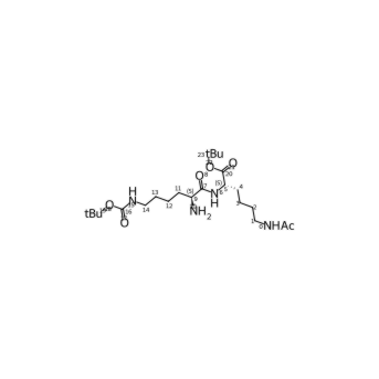 CC(=O)NCCCC[C@H](NC(=O)[C@@H](N)CCCCNC(=O)OC(C)(C)C)C(=O)OC(C)(C)C